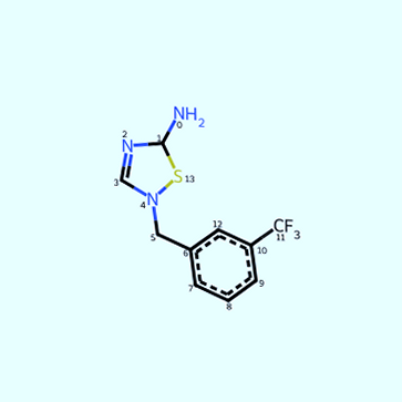 NC1N=CN(Cc2cccc(C(F)(F)F)c2)S1